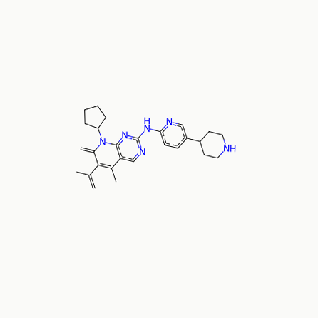 C=C(C)C1=C(C)c2cnc(Nc3ccc(C4CCNCC4)cn3)nc2N(C2CCCC2)C1=C